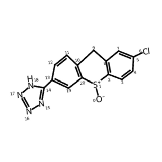 [O-][S+]1c2ccc(Cl)cc2Cc2ccc(-c3nnn[nH]3)cc21